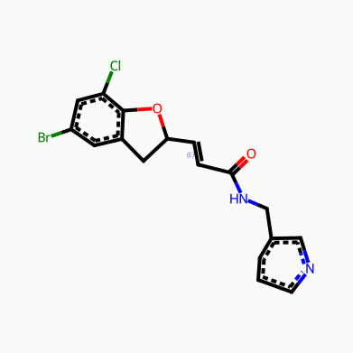 O=C(/C=C/C1Cc2cc(Br)cc(Cl)c2O1)NCc1cccnc1